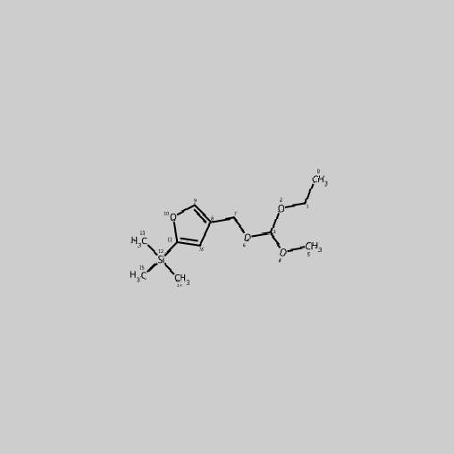 CCOC(OC)OCc1coc([Si](C)(C)C)c1